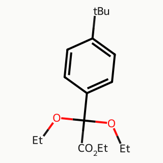 CCOC(=O)C(OCC)(OCC)c1ccc(C(C)(C)C)cc1